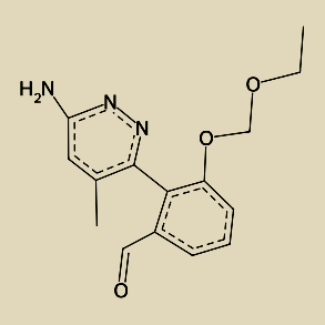 CCOCOc1cccc(C=O)c1-c1nnc(N)cc1C